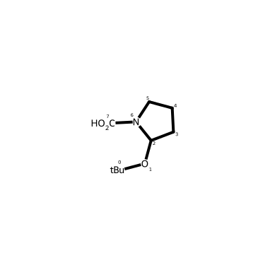 CC(C)(C)OC1CCCN1C(=O)O